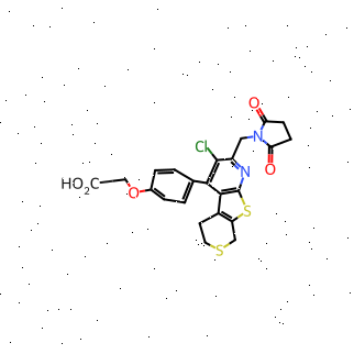 O=C(O)COc1ccc(-c2c(Cl)c(CN3C(=O)CCC3=O)nc3sc4c(c23)CCSC4)cc1